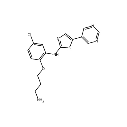 NCCCOc1ccc(Cl)cc1Nc1ncc(-c2cncnc2)s1